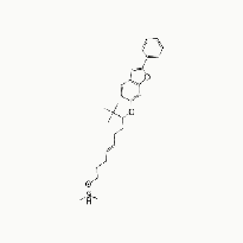 C[SiH](C)OCCC/C=C/CCC(Oc1ccc2cc(-c3ccccc3)oc2c1)C(C)(C)C